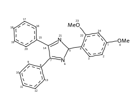 COc1ccc([C]2N=C(c3ccccc3)C(c3ccccc3)=N2)c(OC)c1